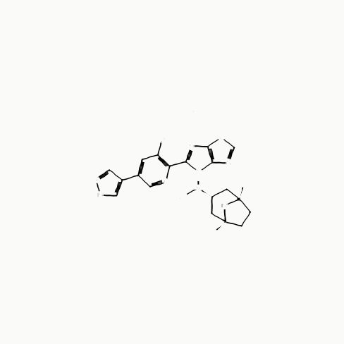 CN([C@@H]1C[C@H]2CC[C@@H](C1)N2)[SH]1C(c2ncc(-c3cn[nH]c3)cc2O)=Nc2scnc21.Cl.Cl